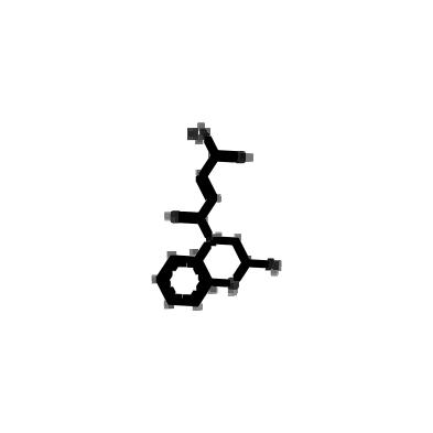 CC(=O)C1CN(C(=O)/C=C/C(N)=O)c2ccccc2O1